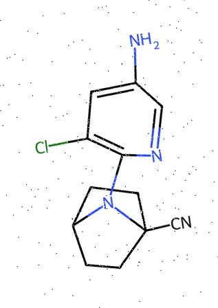 N#CC12CCC(CC1)N2c1ncc(N)cc1Cl